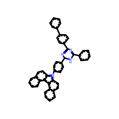 c1ccc(C2=NC(c3ccc(-c4ccccc4)cc3)=NC(c3ccc(-n4c5ccc6ccccc6c5c5c6ccccc6ccc54)cc3)N2)cc1